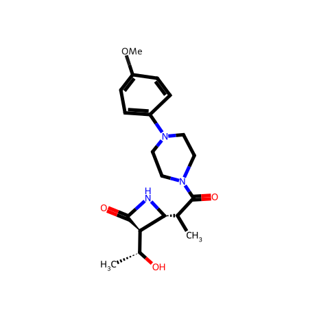 COc1ccc(N2CCN(C(=O)C(C)[C@H]3NC(=O)[C@@H]3[C@@H](C)O)CC2)cc1